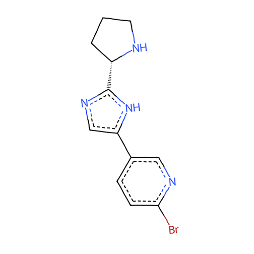 Brc1ccc(-c2cnc([C@@H]3CCCN3)[nH]2)cn1